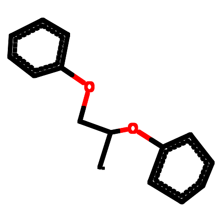 [CH2]C(COc1ccccc1)Oc1ccccc1